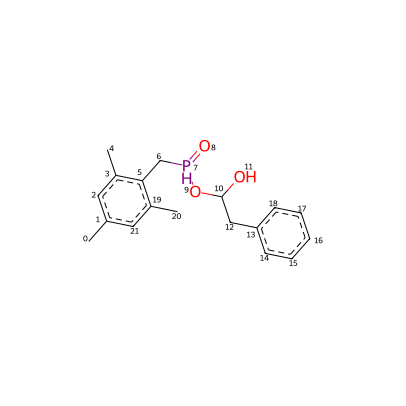 Cc1cc(C)c(C[PH](=O)OC(O)Cc2ccccc2)c(C)c1